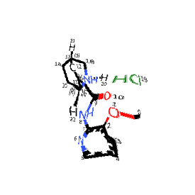 COc1cccnc1NC(=O)[C@@H]1C[C@@H]2CC[C@H]1NC2.Cl